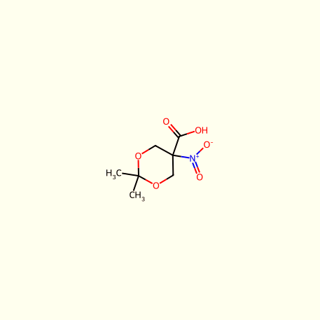 CC1(C)OCC(C(=O)O)([N+](=O)[O-])CO1